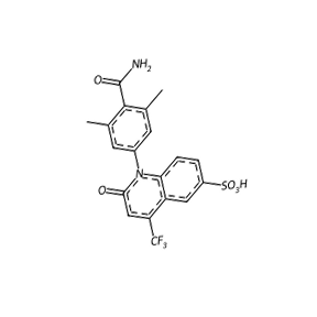 Cc1cc(-n2c(=O)cc(C(F)(F)F)c3cc(S(=O)(=O)O)ccc32)cc(C)c1C(N)=O